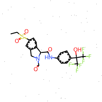 CCS(=O)(=O)c1ccc2c(c1)CN(C=O)C2C(=O)Nc1ccc(C(O)(C(F)(F)F)C(F)(F)F)cc1